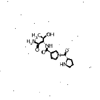 C[C@@H](O)[C@H](NC(=O)[C@@H]1CCN(C(=O)[C@@H]2CCCN2)C1)C(N)=O